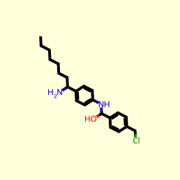 CCCCCCCC(N)c1ccc(NC(O)c2ccc(CCl)cc2)cc1